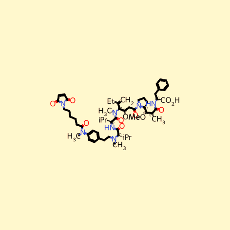 C=C(CC)[C@@H]([C@@H](CC(=O)N1CCC[C@H]1[C@H](OC)[C@@H](C)C(=O)N[C@@H](Cc1ccccc1)C(=O)O)OC)N(C)C(=O)[C@@H](NC(=O)[C@H](C(C)C)N(C)CCc1ccc(N(C)C(=O)CCCCCN2C(=O)C=CC2=O)cc1)C(C)C